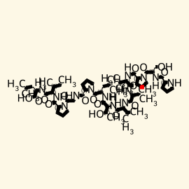 CC[C@H](C)[C@H](NC(=O)[C@@H]1CCCN1C(=O)CNC(=O)[C@@H]1CCCN1C(=O)[C@H](CC(C)C)NC(=O)[C@@H](NC(=O)[C@@H](NC(=O)[C@@H](NC(=O)[C@@H](NC(=O)[C@@H]1CCCN1C(=O)[C@H](CO)NC(=O)[C@@H]1CCCN1)C(C)C)C(C)C)C(C)C)[C@@H](C)O)C(=O)N[C@@H](CC(C)C)C(=O)O